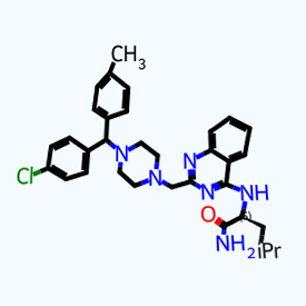 Cc1ccc(C(c2ccc(Cl)cc2)N2CCN(Cc3nc(N[C@@H](CC(C)C)C(N)=O)c4ccccc4n3)CC2)cc1